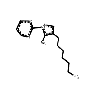 CCCCCCCc1cnn(-c2ncccn2)c1N